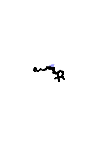 CC1CCC(C/C=C\CCC=O)C1(C)C